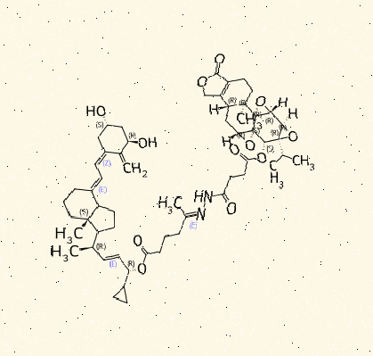 C=C1/C(=C\C=C2/CCC[C@]3(C)C2CCC3[C@H](C)/C=C/[C@H](OC(=O)CCC/C(C)=N/NC(=O)CCC(=O)O[C@H]2[C@]3(C(C)C)O[C@@H]3[C@H]3O[C@@]34[C@@]23O[C@@H]3C[C@@H]2C3=C(CC[C@]24C)C(=O)OC3)C2CC2)C[C@H](O)C[C@H]1O